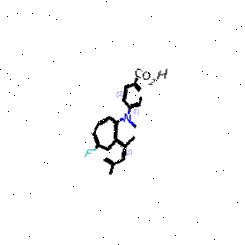 C=C(C)/C=C(/C)C1=C(N(C)C(/C=C\C(=C)C(=O)O)=C/C)C=CC=C(F)C1